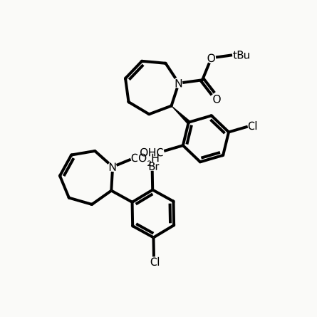 CC(C)(C)OC(=O)N1CC=CCC[C@@H]1c1cc(Cl)ccc1C=O.O=C(O)N1CC=CCCC1c1cc(Cl)ccc1Br